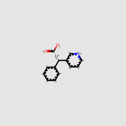 O=C[O-].[Li+].c1ccc(Cc2cccnc2)cc1